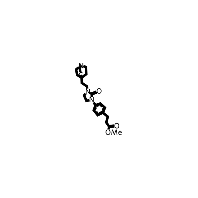 COC(=O)CCc1ccc(N2CCN(CCC34CCN(CC3)CC4)C2=O)cc1